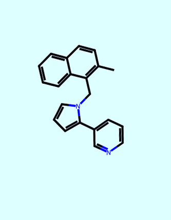 Cc1ccc2ccccc2c1Cn1cccc1-c1cccnc1